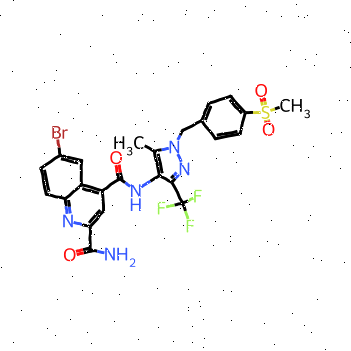 Cc1c(NC(=O)c2cc(C(N)=O)nc3ccc(Br)cc23)c(C(F)(F)F)nn1Cc1ccc(S(C)(=O)=O)cc1